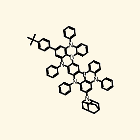 CC(C)(C)c1ccc(-c2cc3c4c(c2)N(c2ccccc2)c2cc5c(cc2B4c2ccccc2N3c2ccccc2)B2c3ccccc3N(c3ccccc3)c3cc(N4C6CC7CC(C6)CC4C7)cc(c32)N5c2ccccc2)cc1